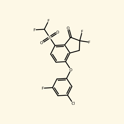 O=C1c2c(S(=O)(=O)C(F)F)ccc(Oc3cc(F)cc(Cl)c3)c2CC1(F)F